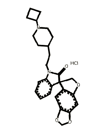 Cl.O=C1N(CCC2CCN(C3CCC3)CC2)c2ccccc2C12COc1cc3c(cc12)OCO3